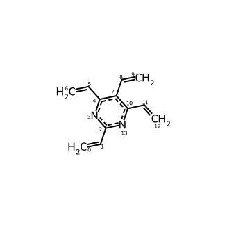 C=Cc1nc(C=C)c(C=C)c(C=C)n1